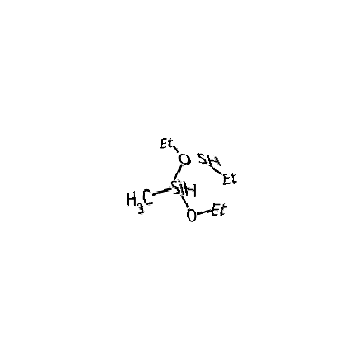 CCO[SiH](C)OCC.CCS